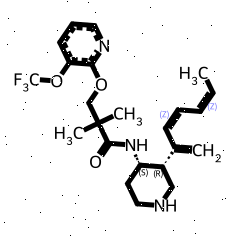 C=C(/C=C\C=C/C)[C@@H]1CNCC[C@@H]1NC(=O)C(C)(C)COc1ncccc1OC(F)(F)F